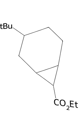 CCOC(=O)C1C2CCC(C(C)(C)C)CC21